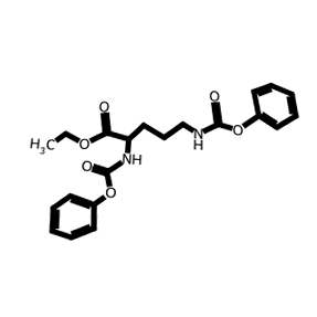 CCOC(=O)C(CCCNC(=O)Oc1ccccc1)NC(=O)Oc1ccccc1